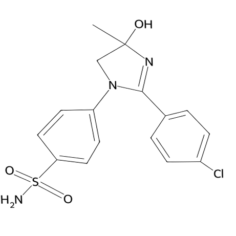 CC1(O)CN(c2ccc(S(N)(=O)=O)cc2)C(c2ccc(Cl)cc2)=N1